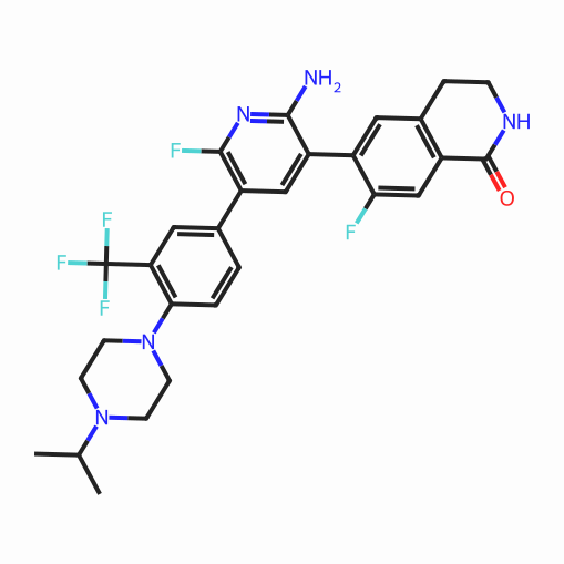 CC(C)N1CCN(c2ccc(-c3cc(-c4cc5c(cc4F)C(=O)NCC5)c(N)nc3F)cc2C(F)(F)F)CC1